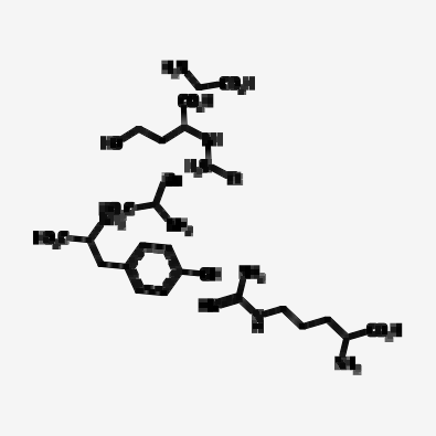 CCC(C)C(N)C(=O)O.CC[SiH2]NC(CCO)C(=O)O.N=C(N)NCCCC(N)C(=O)O.NC(Cc1ccc(O)cc1)C(=O)O.NCC(=O)O